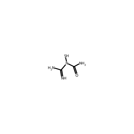 N=C(N)N(S)C(N)=O